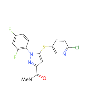 CNC(=O)c1cc(Sc2ccc(Cl)nc2)n(-c2ccc(F)cc2F)n1